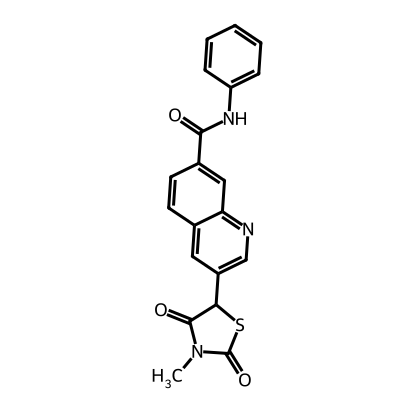 CN1C(=O)SC(c2cnc3cc(C(=O)Nc4ccccc4)ccc3c2)C1=O